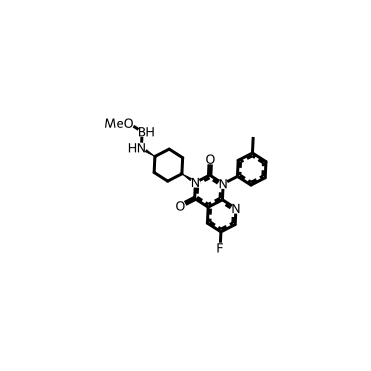 COBN[C@H]1CC[C@@H](n2c(=O)c3cc(F)cnc3n(-c3cccc(C)c3)c2=O)CC1